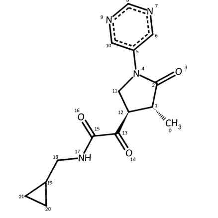 C[C@H]1C(=O)N(c2cncnc2)C[C@@H]1C(=O)C(=O)NCC1CC1